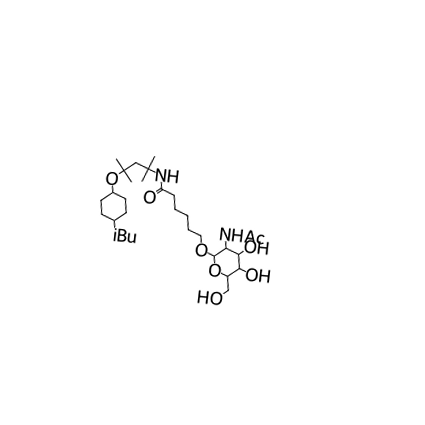 CCC(C)C1CCC(OC(C)(C)CC(C)(C)NC(=O)CCCCCOC2OC(CO)C(O)C(O)C2NC(C)=O)CC1